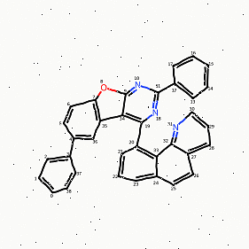 c1ccc(-c2ccc3oc4nc(-c5ccccc5)nc(-c5cccc6ccc7cccnc7c56)c4c3c2)cc1